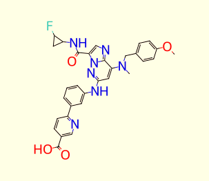 COc1ccc(CN(C)c2cc(Nc3cccc(-c4ccc(C(=O)O)cn4)c3)nn3c(C(=O)NC4CC4F)cnc23)cc1